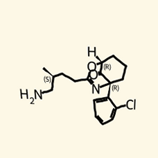 C[C@H](CN)CCC1=N[C@@]2(c3ccccc3Cl)CCC[C@@H](O1)C2=O